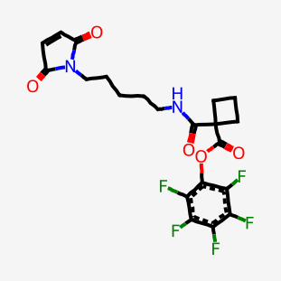 O=C1C=CC(=O)N1CCCCCNC(=O)C1(C(=O)Oc2c(F)c(F)c(F)c(F)c2F)CCC1